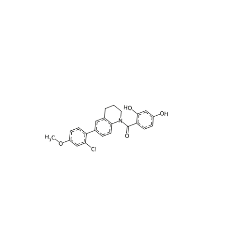 COc1ccc(-c2ccc3c(c2)CCCN3C(=O)c2ccc(O)cc2O)c(Cl)c1